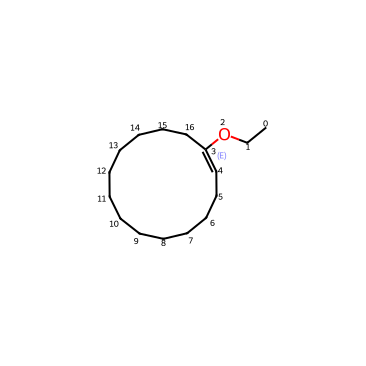 CCO/C1=C/CCCCCCCCCCCC1